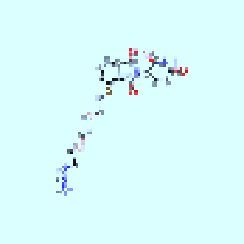 [N-]=[N+]=NCCOCCOCCSc1cccc2c1C(=O)N(C1CCC(=O)NC1=O)C2=O